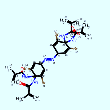 C=C(C)C(=O)NC1(NC(=O)C(=C)C)C(Br)=CC(/N=N/C2C=C(Br)C(NC(=O)C(=C)C)(NC(=O)C(=C)C)C(Br)=C2)C=C1Br